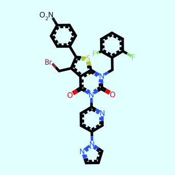 O=c1c2c(CBr)c(-c3ccc([N+](=O)[O-])cc3)sc2n(Cc2c(F)cccc2F)c(=O)n1-c1ccc(-n2cccn2)cn1